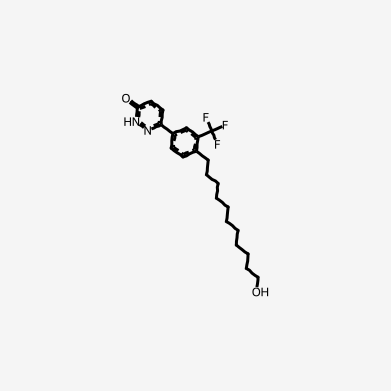 O=c1ccc(-c2ccc(CCCCCCCCCCCO)c(C(F)(F)F)c2)n[nH]1